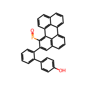 O=Pc1c(-c2ccccc2-c2ccc(O)cc2)cc2cccc3c4cccc5cccc(c1c23)c54